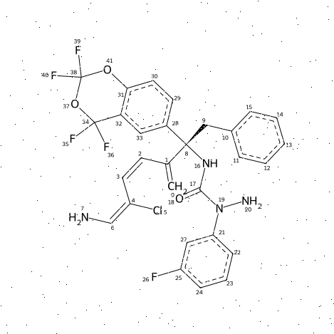 C=C(/C=C\C(Cl)=C/N)[C@@](Cc1ccccc1)(NC(=O)N(N)c1cccc(F)c1)c1ccc2c(c1)C(F)(F)OC(F)(F)O2